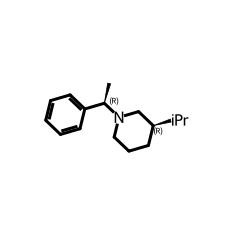 CC(C)[C@H]1CCCN([C@H](C)c2ccccc2)C1